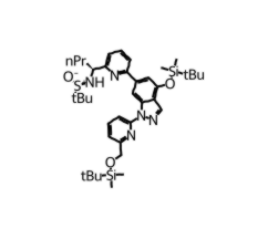 CCC[C@H](N[S@+]([O-])C(C)(C)C)c1cccc(-c2cc(O[Si](C)(C)C(C)(C)C)c3cnn(-c4cccc(CO[Si](C)(C)C(C)(C)C)n4)c3c2)n1